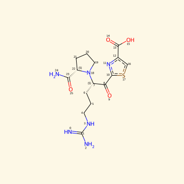 N=C(N)NCCC[C@@H](C(=O)c1nc(C(=O)O)cs1)N1CCC[C@H]1C(N)=O